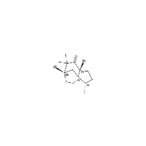 C=C1[C@@H]2CC[C@H](C)[C@]23CC[C@@H](C3)C1(C)C